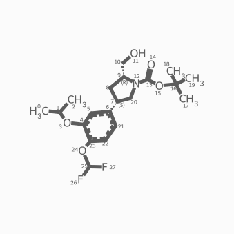 CC(C)Oc1cc([C@@H]2C[C@H](CO)N(C(=O)OC(C)(C)C)C2)ccc1OC(F)F